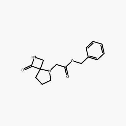 O=C(CN1CCCC12CNC2=O)OCc1ccccc1